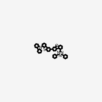 c1ccc(-c2nc(-c3ccccc3)nc(-c3cccc4oc5cc(-c6ccc7sc8c(-n9c%10ccccc%10c%10ccccc%109)cccc8c7c6)ccc5c34)n2)cc1